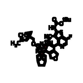 CN(C)CC1(COc2nc(N3C4CCC3CN(C(=O)OC(C)(C)C)C4)c3c4c(c(-c5ncc(F)c6sc(NC(=O)OC(C)(C)C)c(C#N)c56)c(F)c3n2)COC4)CC1